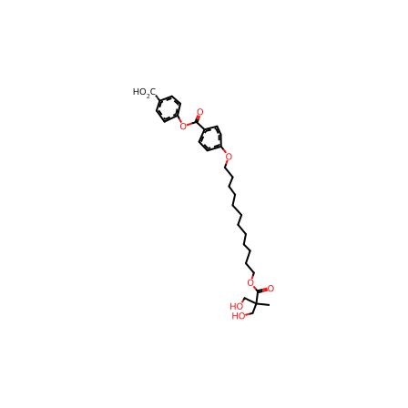 CC(CO)(CO)C(=O)OCCCCCCCCCCCCOc1ccc(C(=O)Oc2ccc(C(=O)O)cc2)cc1